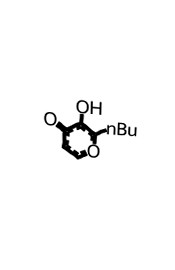 CCCCc1occc(=O)c1O